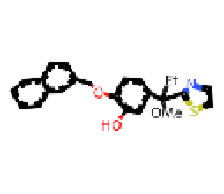 CCC(OC)(c1ccc(OCc2ccc3ccccc3c2)c(O)c1)c1nccs1